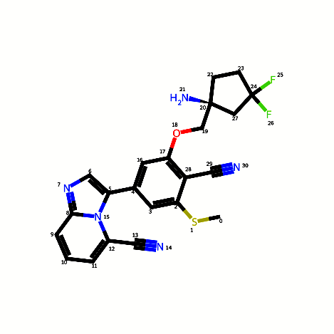 CSc1cc(-c2cnc3cccc(C#N)n23)cc(OC[C@]2(N)CCC(F)(F)C2)c1C#N